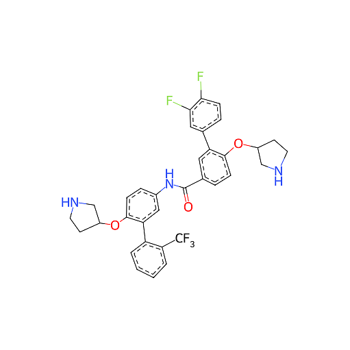 O=C(Nc1ccc(OC2CCNC2)c(-c2ccccc2C(F)(F)F)c1)c1ccc(OC2CCNC2)c(-c2ccc(F)c(F)c2)c1